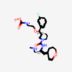 CNC[C@H](CC1CCCOCC1)NC(=O)N1CCC[C@@H]([C@@H](OCCNC(=O)O)c2cccc(F)c2)C1